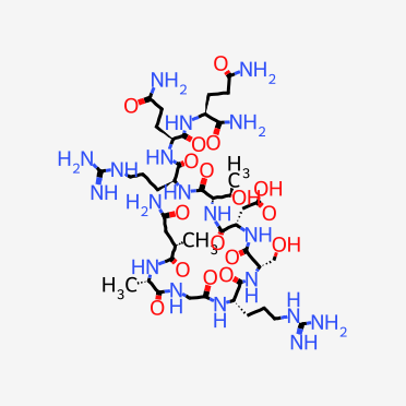 C[C@H](NC(=O)[C@@H](C)CC(N)=O)C(=O)NCC(=O)N[C@@H](CCCNC(=N)N)C(=O)N[C@@H](CO)C(=O)N[C@@H](CC(=O)O)C(=O)N[C@H](C(=O)N[C@@H](CCCNC(=N)N)C(=O)N[C@@H](CCC(N)=O)C(=O)N[C@@H](CCC(N)=O)C(N)=O)[C@@H](C)O